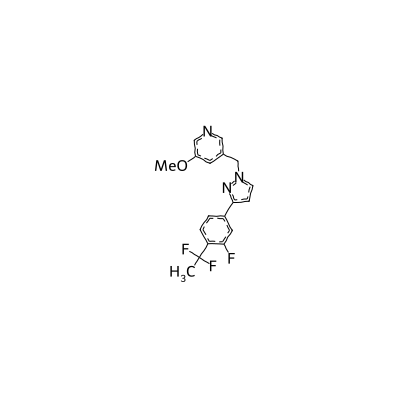 COc1cncc(Cn2ccc(-c3ccc(C(C)(F)F)c(F)c3)n2)c1